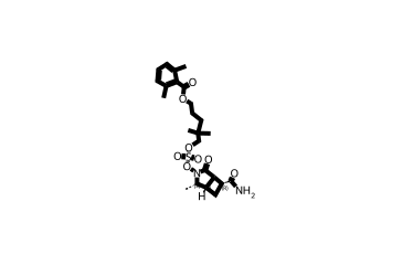 Cc1cccc(C)c1C(=O)OCCCC(C)(C)COS(=O)(=O)ON1C(=O)C2[C@@H](C[C@H]2C(N)=O)[C@@H]1C